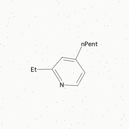 CCCCCc1ccnc(CC)c1